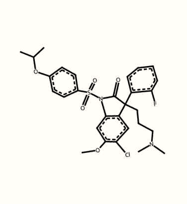 COc1cc2c(cc1Cl)C(CCCN(C)C)(c1ccccc1F)C(=O)N2S(=O)(=O)c1ccc(OC(C)C)cc1